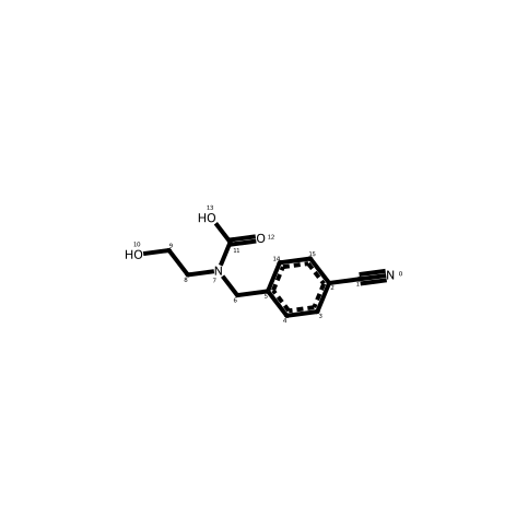 N#Cc1ccc(CN(CCO)C(=O)O)cc1